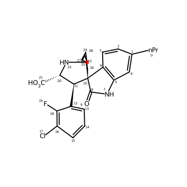 CCCc1ccc2c(c1)NC(=O)[C@]21[C@@H](c2cccc(Cl)c2F)[C@H](C(=O)O)NC12CCCCC2